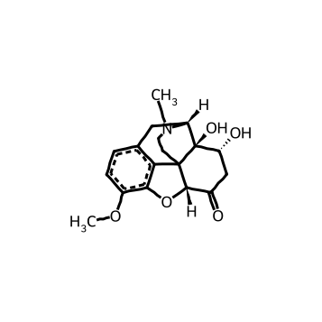 COc1ccc2c3c1O[C@H]1C(=O)C[C@@H](O)[C@@]4(O)[C@@H](C2)N(C)CCC314